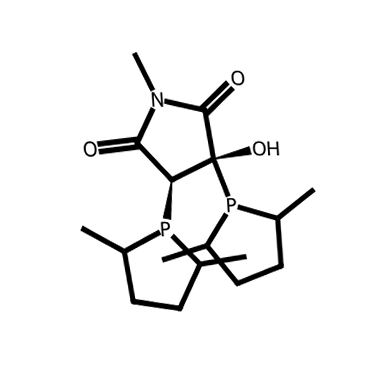 CC1CCC(C)P1[C@H]1C(=O)N(C)C(=O)[C@]1(O)P1C(C)CCC1C